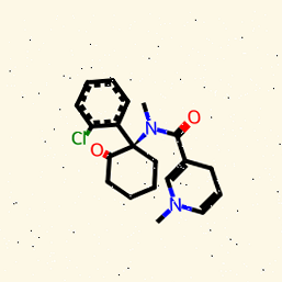 CN1C=CCC(C(=O)N(C)[C@@]2(c3ccccc3Cl)CCCCC2=O)=C1